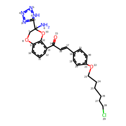 NC1(c2nnn[nH]2)COc2cccc(C(=O)C=Cc3ccc(OCCCCCCCl)cc3)c2O1